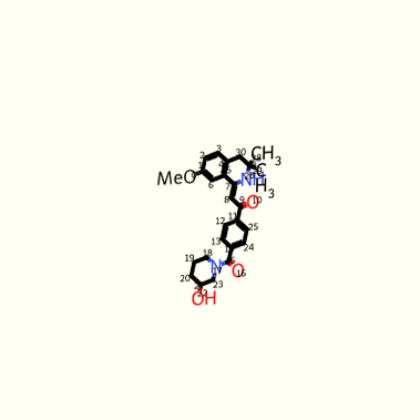 COc1ccc2c(c1)C(=CC(=O)c1ccc(C(=O)N3CCCC(O)C3)cc1)NC(C)(C)C2